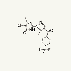 Cc1nc(-n2ncc(C(=O)N3CCC(C(C)(F)F)CC3)c2C)[nH]c(=O)c1Cl